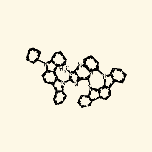 Cn1c(-n2c3ccccc3c3ccc4c(c5ccccc5n4-c4ccccc4)c32)nc2c(-n3c4ccccc4c4ccc5c6ccccc6n(-c6ccccc6)c5c43)ncnc21